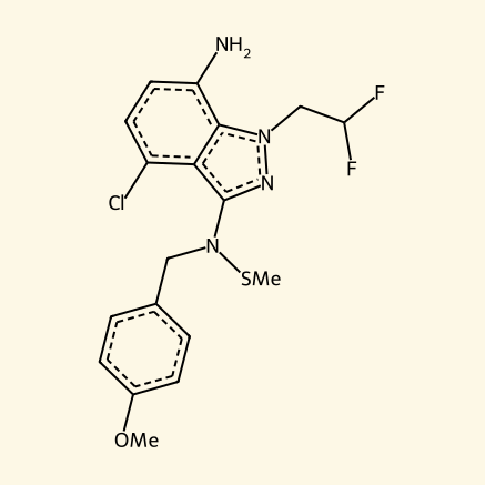 COc1ccc(CN(SC)c2nn(CC(F)F)c3c(N)ccc(Cl)c23)cc1